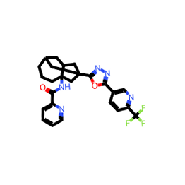 O=C(NC12CCCC3CC1CC(c1nnc(-c4ccc(C(F)(F)F)nc4)o1)(C3)C2)c1ccccn1